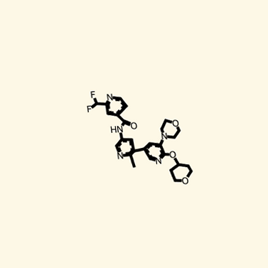 Cc1ncc(NC(=O)c2ccnc(C(F)F)c2)cc1-c1cnc(OC2CCOCC2)c(N2CCOCC2)c1